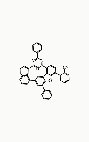 N#Cc1ccccc1-c1ccc(-c2nc(-c3ccccc3)nc(-c3ccccc3)n2)c2c1oc1c(-c3ccccc3)cc(-c3ccccc3)cc12